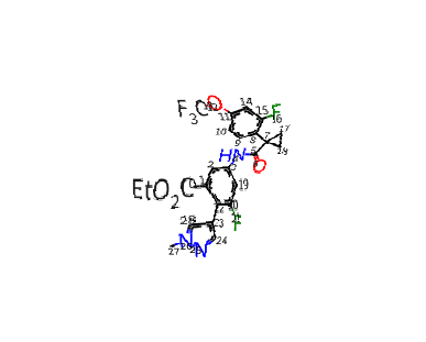 CCOC(=O)c1cc(NC(=O)C2(c3ccc(OC(F)(F)F)cc3F)CC2)cc(F)c1-c1cnn(C)c1